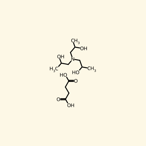 CC(O)CN(CC(C)O)CC(C)O.O=C(O)CCC(=O)O